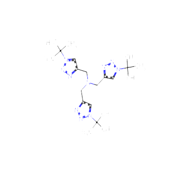 CC(C)(C)n1cc(CN(Cc2cn(C(C)(C)C)nn2)Cc2cn(C(C)(C)C)nn2)nn1